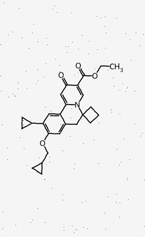 CCOC(=O)c1cn2c(cc1=O)-c1cc(C3CC3)c(OCC3CC3)cc1CC21CCC1